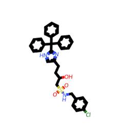 O=S(=O)(CC(O)CCc1c[nH]c(C(c2ccccc2)(c2ccccc2)c2ccccc2)n1)NCc1ccc(Cl)cc1